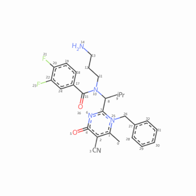 Cc1c(C#N)c(=O)nc(C(C(C)C)N(CCCN)C(=O)c2ccc(F)c(F)c2)n1Cc1ccccc1